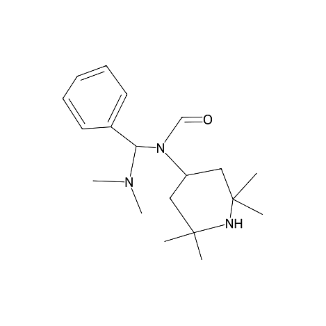 CN(C)C(c1ccccc1)N(C=O)C1CC(C)(C)NC(C)(C)C1